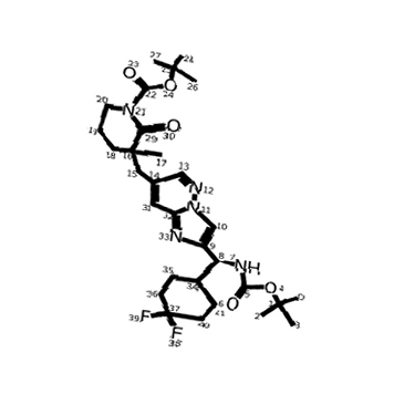 CC(C)(C)OC(=O)N[C@H](c1cn2ncc(CC3(C)CCCN(C(=O)OC(C)(C)C)C3=O)cc2n1)C1CCC(F)(F)CC1